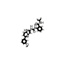 COc1cccc(C2=NN3C=C(NC(=O)Nc4ccccc4C(=O)NC(C)C)NC3C=C2)c1